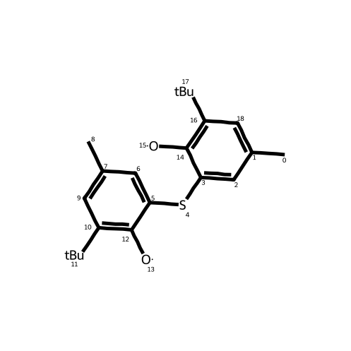 Cc1cc(Sc2cc(C)cc(C(C)(C)C)c2[O])c([O])c(C(C)(C)C)c1